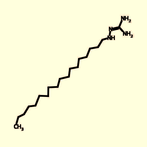 CCCCCCCCCCCCCCCCCCNN=C(N)N